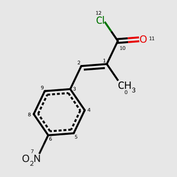 C/C(=C\c1ccc([N+](=O)[O-])cc1)C(=O)Cl